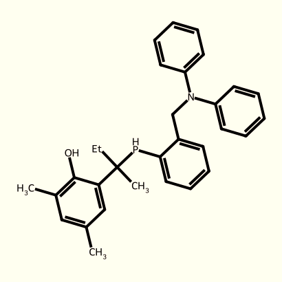 CCC(C)(Pc1ccccc1CN(c1ccccc1)c1ccccc1)c1cc(C)cc(C)c1O